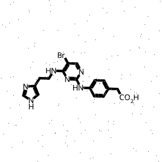 O=C(O)Cc1ccc(Nc2ncc(Br)c(NCCc3c[nH]cn3)n2)cc1